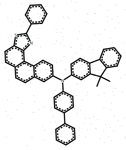 CC1(C)c2ccccc2-c2ccc(N(c3ccc(-c4ccccc4)cc3)c3ccc4c(ccc5ccc6sc(-c7ccccc7)nc6c54)c3)cc21